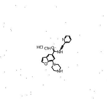 Cl.Cl.O=C(NC#Cc1ccccn1)c1cc(N2CCNCC2)c2occc2c1